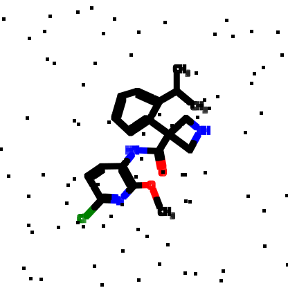 COc1nc(Cl)ccc1NC(=O)C1(c2ccccc2C(C)C)CNC1